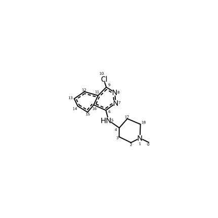 CN1CCC(Nc2nnc(Cl)c3ccccc23)CC1